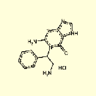 Cl.NCC(c1ccccc1)n1c(N)nc2nc[nH]c2c1=O